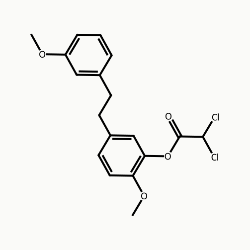 COc1cccc(CCc2ccc(OC)c(OC(=O)C(Cl)Cl)c2)c1